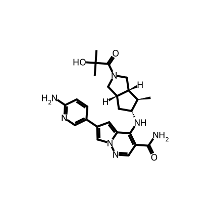 C[C@@H]1[C@H]2CN(C(=O)C(C)(C)O)C[C@H]2C[C@H]1Nc1c(C(N)=O)cnn2cc(-c3ccc(N)nc3)cc12